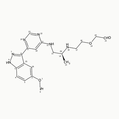 CC(C)Oc1ccc2[nH]nc(-c3cc(NC[C@H](C)NCCOCC=O)ncn3)c2c1